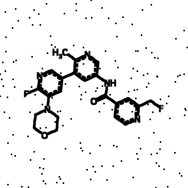 Cc1ncc(NC(=O)c2ccnc(CF)c2)cc1-c1cnc(F)c(N2CCOCC2)c1